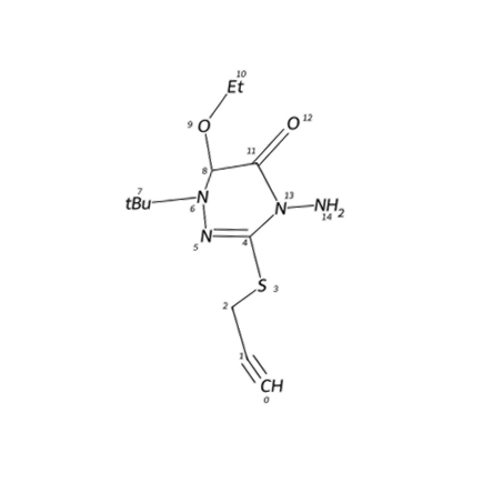 C#CCSC1=NN(C(C)(C)C)C(OCC)C(=O)N1N